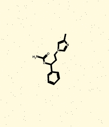 Cc1cn(CCC(OC(N)=O)c2ccccc2)cn1